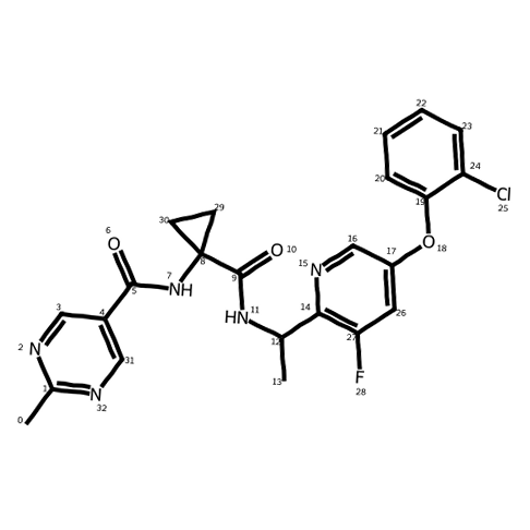 Cc1ncc(C(=O)NC2(C(=O)NC(C)c3ncc(Oc4ccccc4Cl)cc3F)CC2)cn1